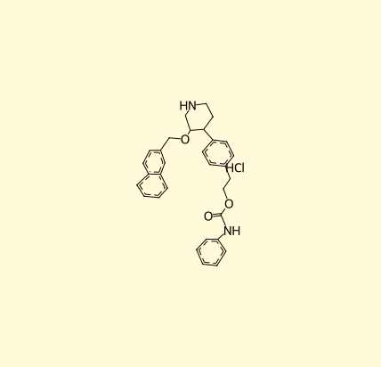 Cl.O=C(Nc1ccccc1)OCCc1ccc(C2CCNCC2OCc2ccc3ccccc3c2)cc1